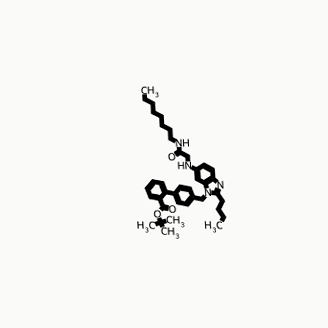 CCCCCCCCNC(=O)CNc1ccc2nc(CCCC)n(Cc3ccc(-c4ccccc4C(=O)OC(C)(C)C)cc3)c2c1